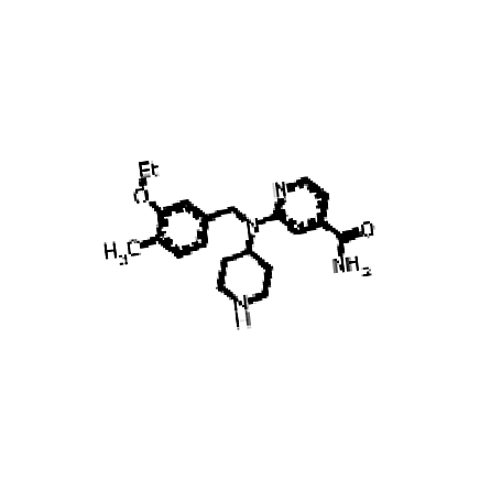 CCOc1cc(CN(c2cc(C(N)=O)ccn2)C2CCNCC2)ccc1C